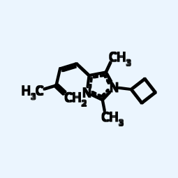 C=C(C)/C=C\c1nc(C)n(C2CCC2)c1C